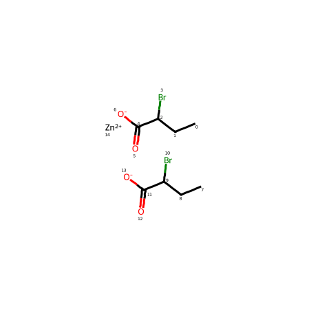 CCC(Br)C(=O)[O-].CCC(Br)C(=O)[O-].[Zn+2]